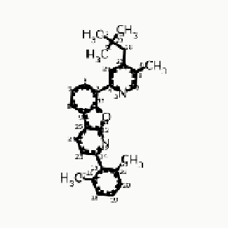 Cc1cnc(-c2cccc3c2oc2nc(-c4c(C)cccc4C)ccc23)cc1CC(C)(C)C